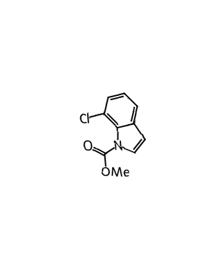 COC(=O)n1ccc2cccc(Cl)c21